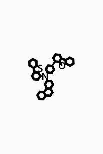 c1ccc2c(c1)ccc1ccc(N(c3ccc(-c4cccc5c4oc4ccccc45)cc3)c3cccc4c3sc3ccccc34)cc12